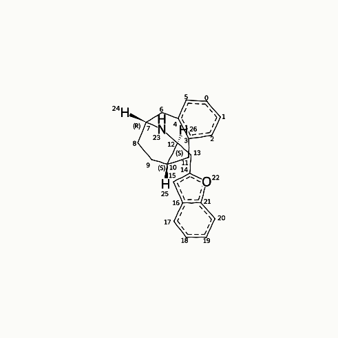 c1ccc2c(c1)C[C@H]1CC[C@@H](C2)[C@H](Cc2cc3ccccc3o2)N1